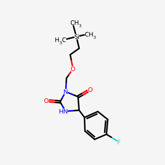 C[Si](C)(C)CCOCN1C(=O)NC(c2ccc(F)cc2)C1=O